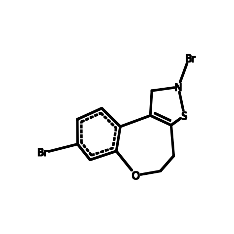 Brc1ccc2c(c1)OCCC1=C2CN(Br)S1